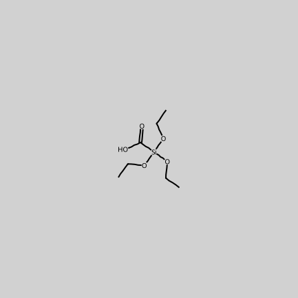 CCO[Si](OCC)(OCC)C(=O)O